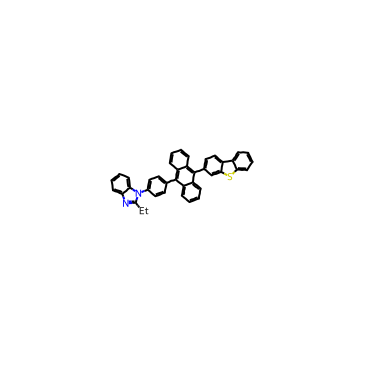 CCc1nc2ccccc2n1-c1ccc(-c2c3ccccc3c(-c3ccc4c(c3)sc3ccccc34)c3ccccc23)cc1